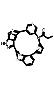 CCC(=O)n1c2cncc(c2)c2ncc3[nH]nc(c4nc5c(cccc5c5ccc1s5)[nH]4)c3c2F